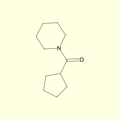 O=C(C1CCCC1)N1[CH]CCCC1